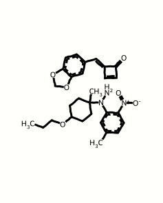 CCCOC1CCC(C)(N(N)c2cc(C)ccc2[N+](=O)[O-])CC1.O=C1C=CC1=Cc1ccc2c(c1)OCO2